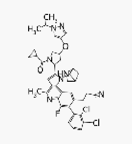 Cc1nc2c(F)c(-c3cccc(Cl)c3Cl)c(CCC#N)cc2c2c1cc(C1CC(Oc3cnn(C(C)C)c3)CN1C(=O)C1CC1)n2C1C2CNC1C2